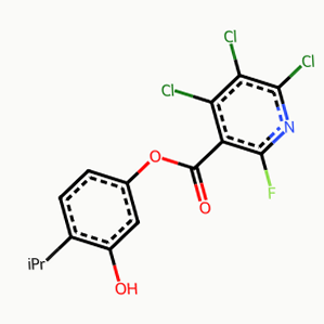 CC(C)c1ccc(OC(=O)c2c(F)nc(Cl)c(Cl)c2Cl)cc1O